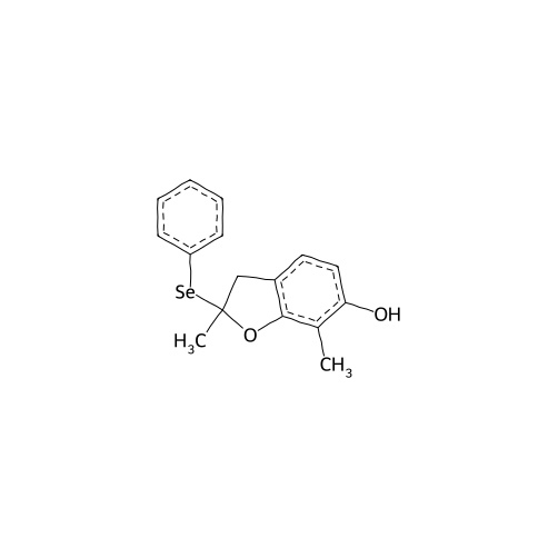 Cc1c(O)ccc2c1OC(C)([Se]c1ccccc1)C2